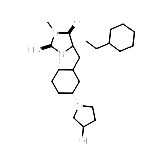 CN1C(=N)N[C@](CCC2CCCCC2)(CC2CCC[C@@H](N3CCC(O)C3)C2)C1=O